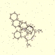 CC1=C(/c2ccc3ccccc3n2)c2ccccc2/C(c2cccc3ccccc23)=C(C)/C=C\C(C)/C=C\1